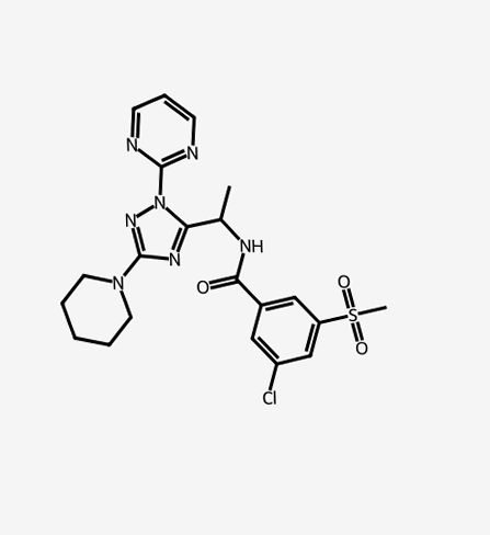 CC(NC(=O)c1cc(Cl)cc(S(C)(=O)=O)c1)c1nc(N2CCCCC2)nn1-c1ncccn1